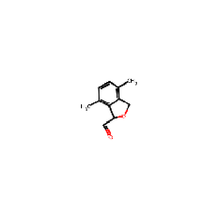 Cc1ccc(C)c2c1COC2C=O